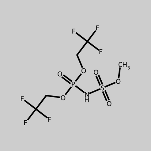 COS(=O)(=O)NP(=O)(OCC(F)(F)F)OCC(F)(F)F